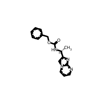 C[C@@H](NC(=O)OCc1ccccc1)c1cn2cccnc2n1